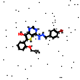 CCOc1ccccc1-c1sc2c(NN=Cc3ccc(Br)cc3)ncnc2c1O